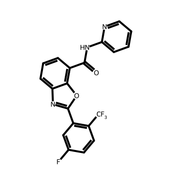 O=C(Nc1ccccn1)c1cccc2nc(-c3cc(F)ccc3C(F)(F)F)oc12